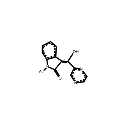 CC(=O)N1C(=O)/C(=C(/O)c2cnccn2)c2ccccc21